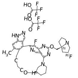 Cc1cc2[nH]ncc2c2c1CCCCOC[C@@H]1CCCN(C1)c1nc(OC[C@@]34CCCN3C[C@H](F)C4)nc3c(F)c-2ncc13.O=C(O)C(F)(F)F.O=C(O)C(F)(F)F